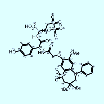 CCCCC1(CCCC)CN(c2ccccc2)c2cc(SC)c(OCC(=O)N[C@@H](C(=O)N[C@@H](CCS(=O)(=O)S(C)(=O)=O)C(=O)O)c3ccc(O)cc3)cc2S(=O)(=O)C1